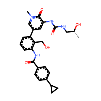 C[C@@H](O)CNC(=O)Nc1cc(-c2cccc(NC(=O)c3ccc(C4CC4)cc3)c2CO)cn(C)c1=O